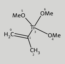 C=[C](C)[Ti]([O]C)([O]C)[O]C